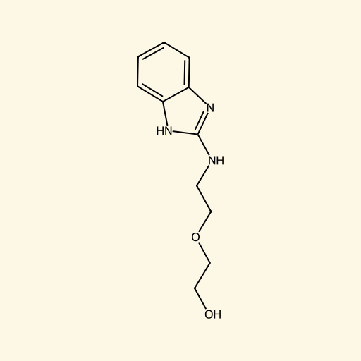 OCCOCCNc1nc2ccccc2[nH]1